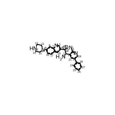 NC(C(=O)c1cnc2cc(N3CCNCC3)ccc2c1)c1cc(-c2ccccc2)cnc1[N+](=O)[O-]